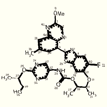 COc1cnc2c(-c3nc4cc(F)c(O[C@@H](C)[C@@H](C)OC(=O)Nc5cnc(O[C@@H](C)CO)nc5)cc4s3)cc(C)cc2n1